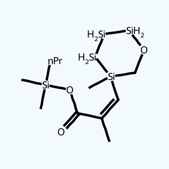 CCC[Si](C)(C)OC(=O)C(C)=C[Si]1(C)CO[SiH2][SiH2][SiH2]1